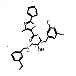 CCc1cccc(CNC[C@H](O)[C@H](Cc2cc(F)cc(F)c2)NC(=O)c2oc(-c3ccccc3)nc2C)c1